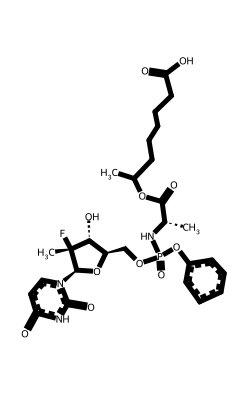 CC(CCCCCC(=O)O)OC(=O)[C@H](C)NP(=O)(OC[C@H]1O[C@@H](n2ccc(=O)[nH]c2=O)[C@](C)(F)[C@@H]1O)Oc1ccccc1